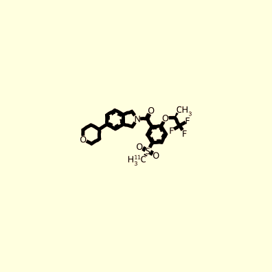 C[C@H](Oc1ccc(S([11CH3])(=O)=O)cc1C(=O)N1Cc2ccc(C3CCOCC3)cc2C1)C(F)(F)F